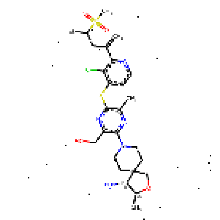 C=C(CC(CC)S(C)(=O)=O)c1nccc(Sc2nc(CO)c(N3CCC4(CC3)CO[C@@H](C)[Si@H]4N)nc2C)c1Cl